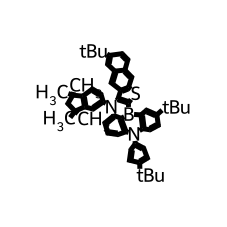 CC(C)(C)c1ccc(N2c3ccc(C(C)(C)C)cc3B3c4sc5cc6ccc(C(C)(C)C)cc6cc5c4N(c4ccc5c(c4)C(C)(C)CC5(C)C)c4cccc2c43)cc1